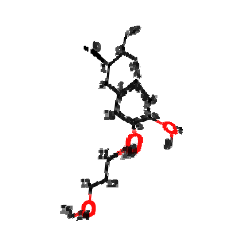 [CH2][C@H](Cc1ccc(OC)c(OCCCOC)c1)C(C)C